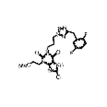 COCCn1c(=O)n(CCCn2nnc(Cc3cc(F)ccc3F)n2)c(=O)c2[nH]c(Cl)nc21